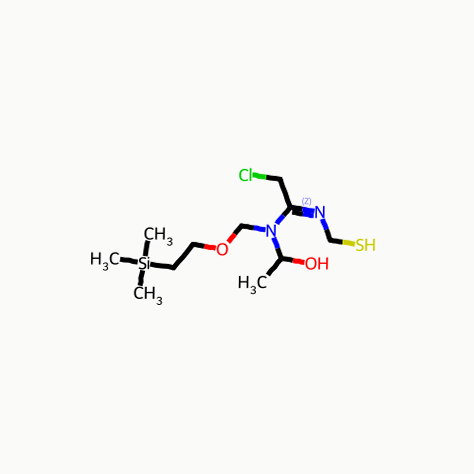 CC(O)N(COCC[Si](C)(C)C)/C(CCl)=N\CS